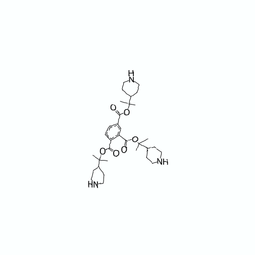 CC(C)(OC(=O)c1ccc(C(=O)OC(C)(C)C2CCNCC2)c(C(=O)OC(C)(C)C2CCNCC2)c1)C1CCNCC1